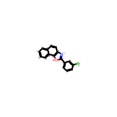 Brc1cccc(-c2nc3ccc4ccccc4c3o2)c1